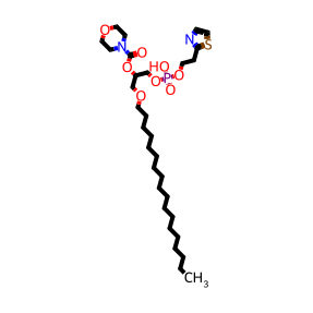 CCCCCCCCCCCCCCCCCCOCC(COP(=O)(O)OCCc1nccs1)OC(=O)N1CCOCC1